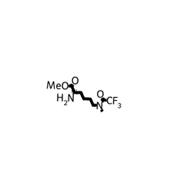 COC(=O)[C@@H](N)CCCCN(C)C(=O)C(F)(F)F